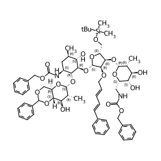 C[C@H]1[C@@H](O[C@H]2[C@@H](OCC=CC=Cc3ccccc3)[C@H](O[C@@H]3[C@@H](O)[C@H](C)C[C@H](NC(=O)OCc4ccccc4)[C@H]3O[C@H]3O[C@@H]4COC(c5ccccc5)O[C@H]4[C@H](O)[C@H]3C)O[C@@H]2CO[Si](C)(C)C(C)(C)C)O[C@@H](CNC(=O)OCc2ccccc2)[C@@H](O)[C@@H]1O